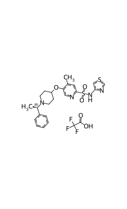 Cc1cc(S(=O)(=O)Nc2cscn2)ncc1OC1CCN([C@H](C)c2ccccc2)CC1.O=C(O)C(F)(F)F